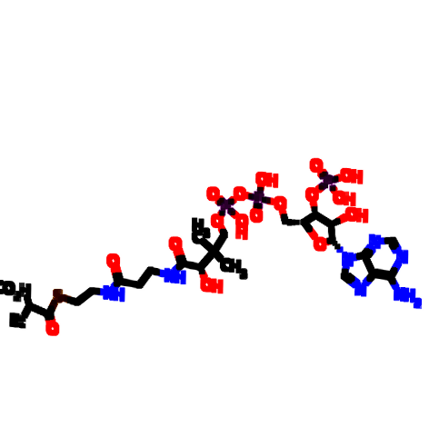 CCC(C(=O)O)C(=O)SCCNC(=O)CCNC(=O)[C@H](O)C(C)(C)COP(=O)(O)OP(=O)(O)OC[C@H]1O[C@@H](n2cnc3c(N)ncnc32)[C@H](O)[C@@H]1OP(=O)(O)O